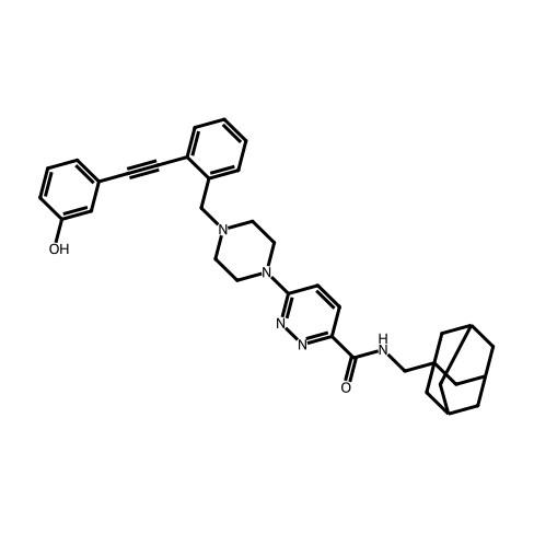 O=C(NCC12CC3CC(CC(C3)C1)C2)c1ccc(N2CCN(Cc3ccccc3C#Cc3cccc(O)c3)CC2)nn1